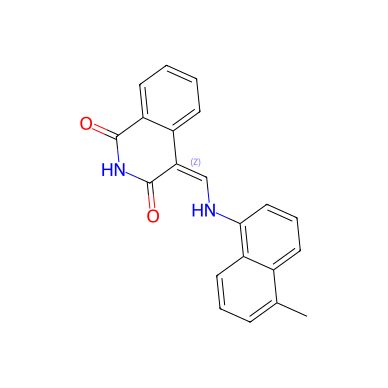 Cc1cccc2c(N/C=C3\C(=O)NC(=O)c4ccccc43)cccc12